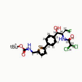 CC(C)(C)OC(=O)NCc1ccc(-c2ccc([C@@H](O)[C@@H](CF)NC(=O)C(Cl)Cl)cc2)s1